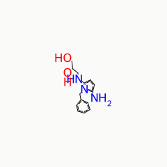 Nc1ccc(NCC(O)CO)n1Cc1ccccc1